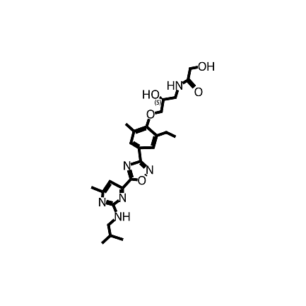 CCc1cc(-c2noc(-c3cc(C)nc(NCC(C)C)n3)n2)cc(C)c1OC[C@@H](O)CNC(=O)CO